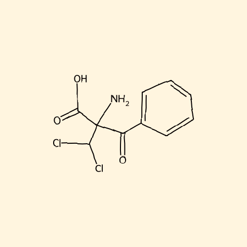 NC(C(=O)O)(C(=O)c1ccccc1)C(Cl)Cl